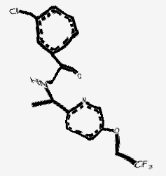 CC(NC(=O)c1cccc(Cl)c1)c1ccc(OCC(F)(F)F)cn1